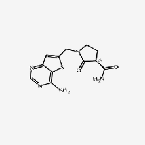 NC(=O)[C@@H]1CCN(Cc2cc3ncnc(N)c3s2)C1=O